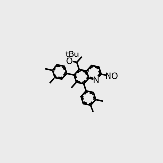 Cc1ccc(-c2c(C)c(-c3ccc(C)c(C)c3)c3nc(N=O)ccc3c2C(C)OC(C)(C)C)cc1C